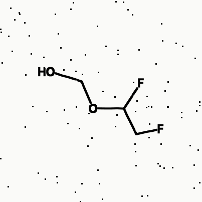 OCOC(F)CF